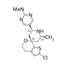 CNc1ncc([C@@H]2C[C@]3(C[C@H](C)N2)OCCc2cc(Cl)sc23)cn1